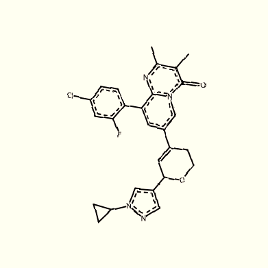 Cc1nc2c(-c3ccc(Cl)cc3F)cc(C3=CC(c4cnn(C5CC5)c4)OCC3)cn2c(=O)c1C